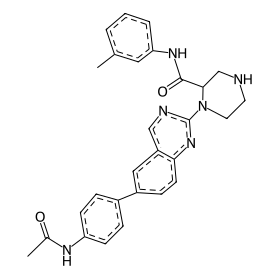 CC(=O)Nc1ccc(-c2ccc3nc(N4CCNCC4C(=O)Nc4cccc(C)c4)ncc3c2)cc1